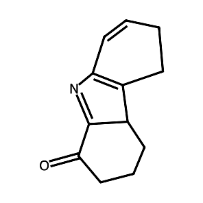 O=C1CCCC2C1=NC1=C2CCC=C1